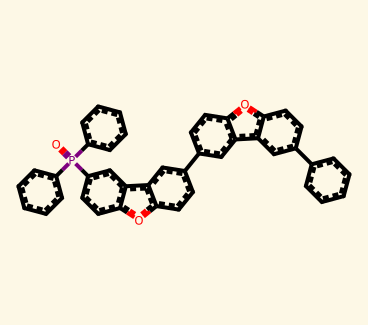 O=P(c1ccccc1)(c1ccccc1)c1ccc2oc3ccc(-c4ccc5oc6ccc(-c7ccccc7)cc6c5c4)cc3c2c1